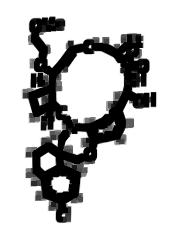 CC[C@@H]1CC/C=C/[C@H](OCCOC)[C@@H]2CC[C@H]2CN2C[C@@]3(CCCc4cc(Cl)ccc43)COc3ccc(cc32)C(O)NS1(=O)=O